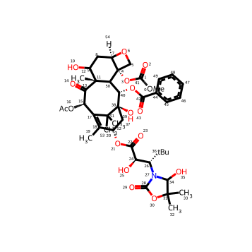 COC(=O)O[C@@]12CO[C@@H]1CC(O)[C@@]1(C)C(=O)[C@H](OC(C)=O)C3=C(C)[C@@H](OC(=O)[C@H](O)[C@@H](N4C(=O)OC(C)(C)C4O)C(C)(C)C)C[C@@](O)([C@@H](OC(=O)c4ccccc4)C12)C3(C)C